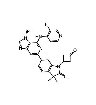 CC(C)n1cnc2cc(-c3ccc4c(c3)N(C3CC(=O)C3)C(=O)C4(C)C)nc(Nc3ccncc3F)c21